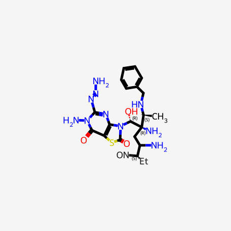 CC[C@H](N=O)C(N)C[C@@](N)([C@H](C)NCc1ccccc1)[C@@H](O)n1c(=O)sc2c(=O)n(N)c(N=NN)nc21